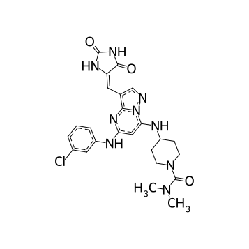 CN(C)C(=O)N1CCC(Nc2cc(Nc3cccc(Cl)c3)nc3c(C=C4NC(=O)NC4=O)cnn23)CC1